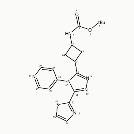 CC(C)(C)OC(=O)NC1CC(c2nnc(-c3nccs3)n2-c2ccncc2)C1